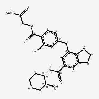 COC(=O)CNC(=O)c1ccc(Cc2cc(C(=O)N[C@H]3CCOC[C@@H]3O)nc3c2OCC3)cc1F